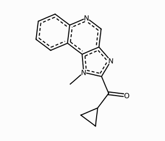 Cn1c(C(=O)C2CC2)nc2cnc3ccccc3c21